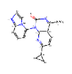 CNc1nc(=O)n(-c2cccc3nccn23)c2nc(C3CC3)ccc12